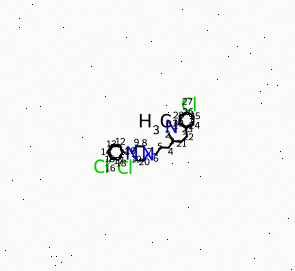 CN1CC(CCCN2CCN(c3cccc(Cl)c3Cl)CC2)CCc2ccc(Cl)cc21